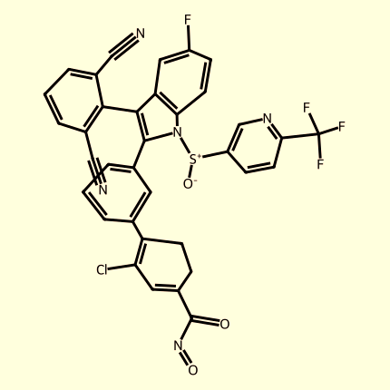 N#Cc1cccc(C#N)c1-c1c(-c2cccc(C3=C(Cl)C=C(C(=O)N=O)CC3)c2)n([S+]([O-])c2ccc(C(F)(F)F)nc2)c2ccc(F)cc12